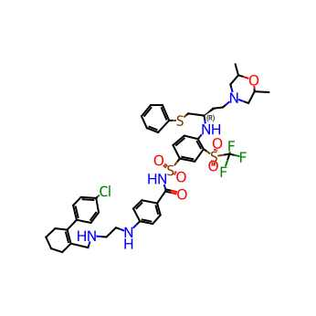 CC1CN(CC[C@H](CSc2ccccc2)Nc2ccc(S(=O)(=O)NC(=O)c3ccc(NCCNCC4=C(c5ccc(Cl)cc5)CCCC4)cc3)cc2S(=O)(=O)C(F)(F)F)CC(C)O1